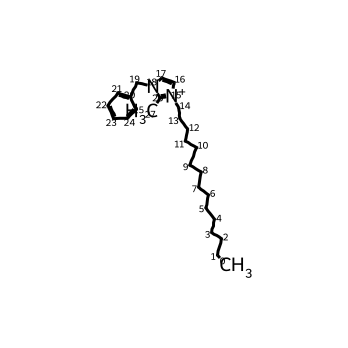 CCCCCCCCCCCCCCC[n+]1ccn(Cc2ccccc2)c1C